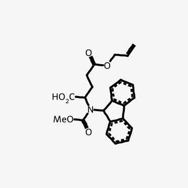 C=CCOC(=O)CCC(C(=O)O)N(C(=O)OC)C1c2ccccc2-c2ccccc21